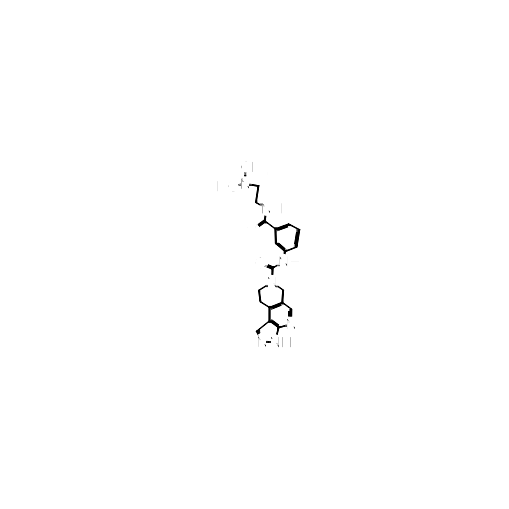 CN(C)CCNC(=O)c1cccc(NC(=O)N2CCc3c(cnc4[nH]ncc34)C2)c1